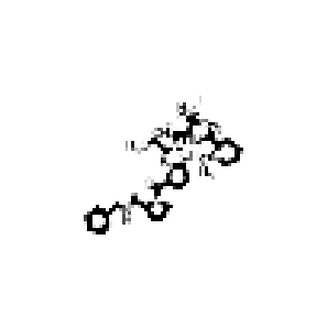 CC(C)[C@@H](CN1CCCC1C(=O)N1CCCC1C(=O)NCc1ccccc1)N(C)C(=O)[C@@H](NC(=O)C1CCCCN1C)C(C)(C)C